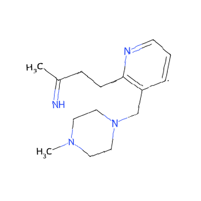 CC(=N)CCc1ncc[c]c1CN1CCN(C)CC1